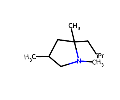 CC(C)CC1(C)CC(C)CN1C